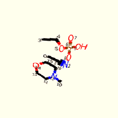 CC#N.CCOS(=O)(=O)O.CN1CCOCC1